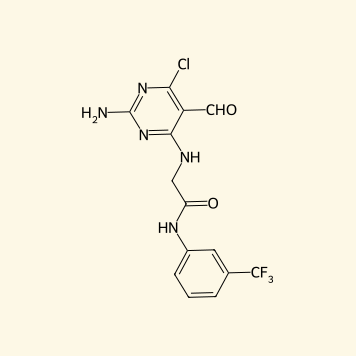 Nc1nc(Cl)c(C=O)c(NCC(=O)Nc2cccc(C(F)(F)F)c2)n1